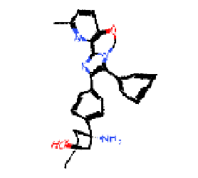 Cc1ccc2c(n1)-c1nc(-c3ccc([C@]4(N)C[C@@](C)(O)C4)cc3)c(-c3ccccc3)n1CO2